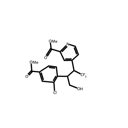 COC(=O)c1ccc(C(CO)C(c2ccnc(C(=O)OC)c2)C(F)(F)F)c(Cl)c1